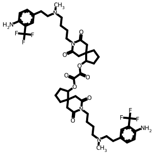 CN(CCCCN1C(=O)CC2(CCCC2OC(=O)C(=O)OC2CCCC23CC(=O)N(CCCCN(C)CCc2ccc(N)c(C(F)(F)F)c2)C(=O)C3)CC1=O)CCc1ccc(N)c(C(F)(F)F)c1